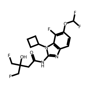 O=C(CC(O)(CF)CF)Nc1nc2ccc(OC(F)F)c(F)c2n1C1CCC1